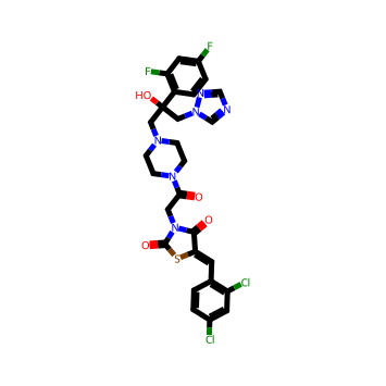 O=C(CN1C(=O)S/C(=C\c2ccc(Cl)cc2Cl)C1=O)N1CCN(CC(O)(Cn2cncn2)c2ccc(F)cc2F)CC1